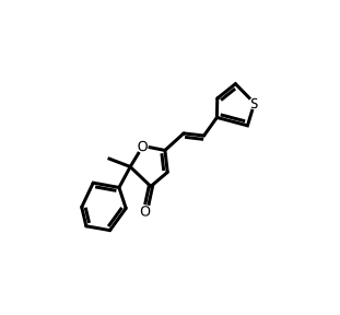 CC1(c2ccccc2)OC(/C=C/c2ccsc2)=CC1=O